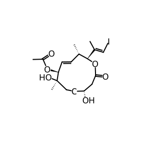 CC(=O)O[C@H]1/C=C/[C@H](C)[C@@H](/C(C)=C/I)OC(=O)C[C@H](O)CC[C@@]1(C)O